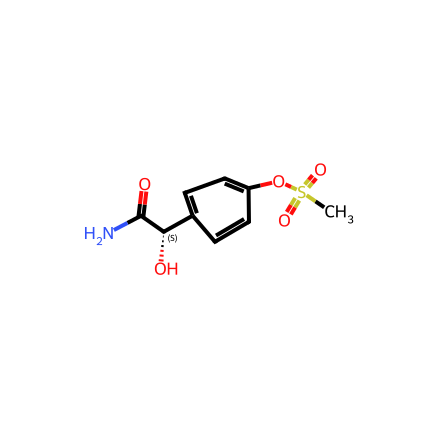 CS(=O)(=O)Oc1ccc([C@H](O)C(N)=O)cc1